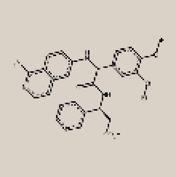 CCOc1cc(C(Nc2ccc3c(N)nccc3c2)C(=O)N[C@@H](CC(=O)O)c2ccccc2)ccc1OC(C)C